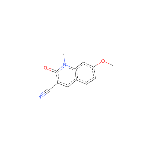 COc1ccc2cc(C#N)c(=O)n(C)c2c1